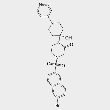 O=C1CN(S(=O)(=O)c2ccc3cc(Br)ccc3c2)CCN1C1(O)CCN(c2ccncc2)CC1